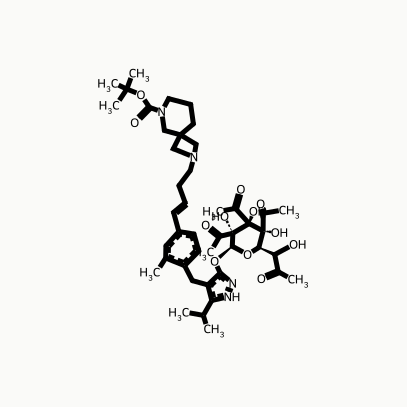 CC(=O)C(O)[C@H]1O[C@@H](Oc2n[nH]c(C(C)C)c2Cc2ccc(/C=C/CCN3CC4(CCCN(C(=O)OC(C)(C)C)C4)C3)cc2C)[C@@](O)(C(C)=O)[C@](O)(C(C)=O)[C@@]1(O)C(C)=O